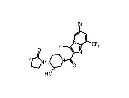 O=C(c1nc2c(C(F)(F)F)cc(Br)cn2c1Cl)N1CC[C@@H](N2CCOC2=O)[C@@H](O)C1